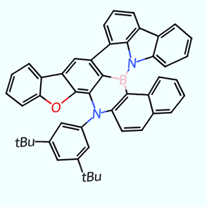 CC(C)(C)c1cc(N2c3ccc4ccccc4c3B3c4c(cc5c(oc6ccccc65)c42)-c2cccc4c5ccccc5n3c24)cc(C(C)(C)C)c1